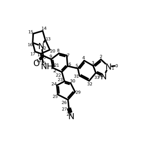 Cn1cc2cc(-c3ccc(C(=O)N4C5CCC4CC(N)C5)cc3-c3ccc(C#N)cc3)ccc2n1